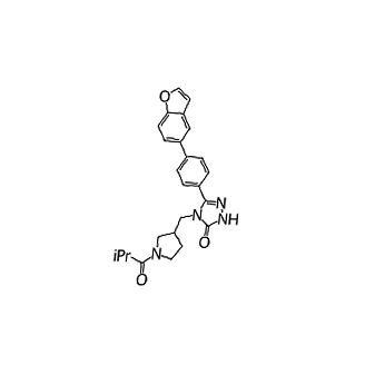 CC(C)C(=O)N1CCC(Cn2c(-c3ccc(-c4ccc5occc5c4)cc3)n[nH]c2=O)C1